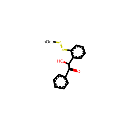 CCCCCCCCSSc1ccccc1C(O)C(=O)c1ccccc1